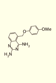 COc1ccc(OCc2cccc3nc(N)nc(N)c23)cc1